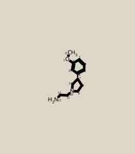 COc1cccc([C@H]2CCN(CCN)C2)c1